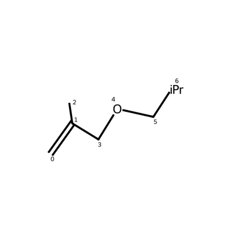 C=C(C)COCC(C)C